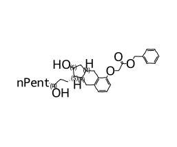 CCCCC[C@@H](O)CC[C@H]1[C@@H]2Cc3cccc(OCC(=O)OCc4ccccc4)c3C[C@@H]2C[C@@H]1O